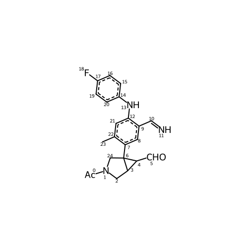 CC(=O)N1CC2C(C=O)C2(c2cc(C=N)c(Nc3ccc(F)cc3)cc2C)C1